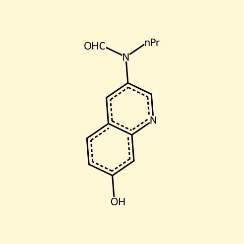 CCCN(C=O)c1cnc2cc(O)ccc2c1